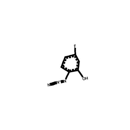 [N-]=[N+]=Nc1ccc(F)cc1O